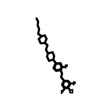 CCCCCC1CCC(CCC2CCC(c3ccc(CCc4cc(F)c(Cl)c(F)c4)c(F)c3)CC2)CC1